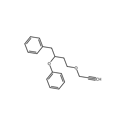 C#CCOCCC(Cc1ccccc1)Oc1ccccc1